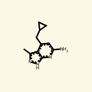 Cc1n[nH]c2nc(N)cc(CC3CC3)c12